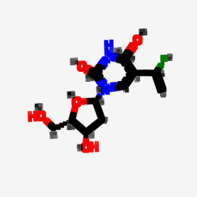 C=C(F)c1cn([C@@H]2C[C@@H](O)[C@H](CO)O2)c(=O)[nH]c1=O